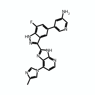 Cc1cn(-c2ccnc3[nH]c(-c4n[nH]c5c(F)cc(-c6cncc(N)c6)cc45)nc23)cn1